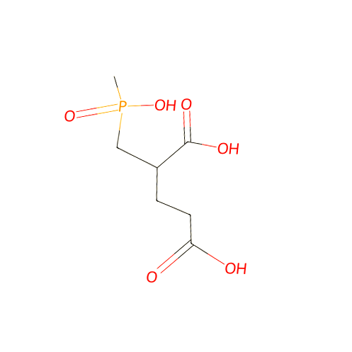 CP(=O)(O)CC(CCC(=O)O)C(=O)O